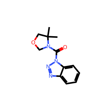 CC1(C)COCN1C(=O)n1nnc2ccccc21